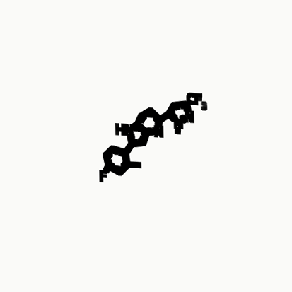 Cc1cc(F)ccc1-c1cc2nc(-c3cc(C(F)(F)F)nn3C)ccc2[nH]1